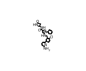 Nc1cccc(-c2ccc(Cl)c(CNc3cc(C(=O)NC4CNC(=O)C4)nn3-c3ccccc3)c2)n1